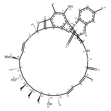 CO[C@H]1/C=C/O[C@@]2(C)Oc3c(C)c(O)c4c(=O)c(c5oc6cc(F)ccc6nc-5c4c3C2=O)NCC(=O)/C(C)=C\C=C\[C@H](C)[C@H](O)[C@@H](C)[C@@H](C)[C@@H](C)[C@H](O)[C@@H]1C